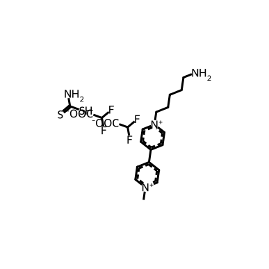 C[n+]1ccc(-c2cc[n+](CCCCCN)cc2)cc1.NC(=S)S.O=C([O-])C(F)F.O=C([O-])C(F)F